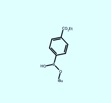 CCOC(=O)c1ccc(B(O)OC(C)CC)cc1